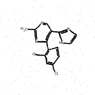 [CH2]c1ncc(-c2ncc[nH]2)c(-c2ccc(Cl)cc2Cl)n1